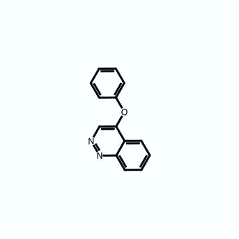 c1ccc(Oc2cnnc3ccccc23)cc1